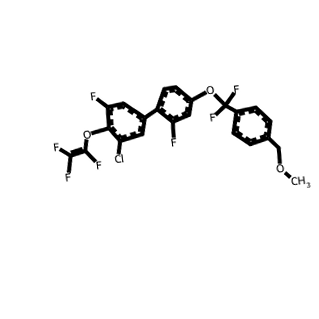 COCc1ccc(C(F)(F)Oc2ccc(-c3cc(F)c(OC(F)=C(F)F)c(Cl)c3)c(F)c2)cc1